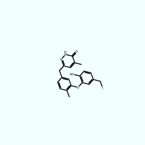 Cc1ccc(Cc2cc(C)c(=O)[nH]n2)cc1Oc1cc(CI)ccc1C#N